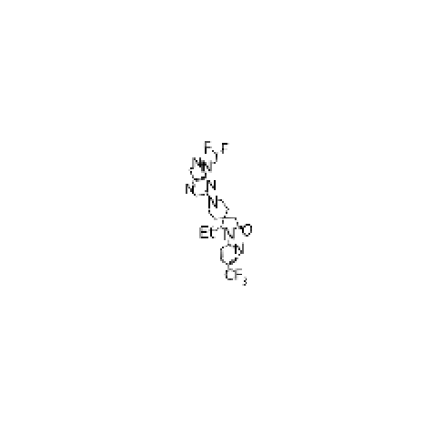 CCC1N(c2ccc(C(F)(F)F)cn2)C(=O)CC12CCN(c1cnc3cnn(CC(F)F)c3n1)CC2